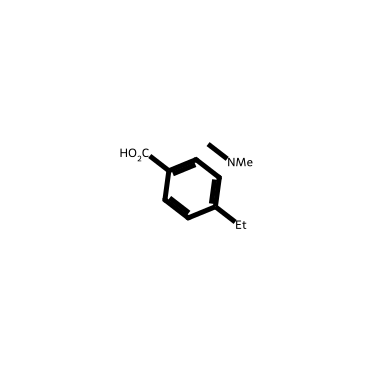 CCc1ccc(C(=O)O)cc1.CNC